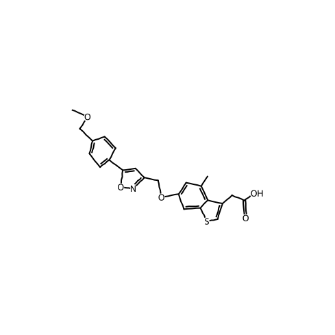 COCc1ccc(-c2cc(COc3cc(C)c4c(CC(=O)O)csc4c3)no2)cc1